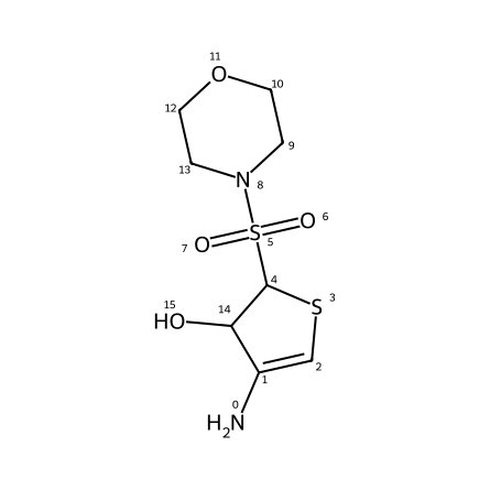 NC1=CSC(S(=O)(=O)N2CCOCC2)C1O